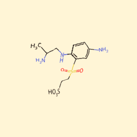 CC(N)CNc1ccc(N)cc1S(=O)(=O)CCS(=O)(=O)O